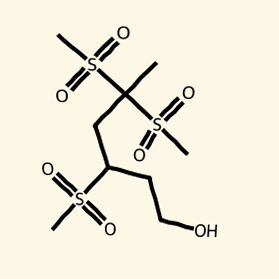 CC(CC(CCO)S(C)(=O)=O)(S(C)(=O)=O)S(C)(=O)=O